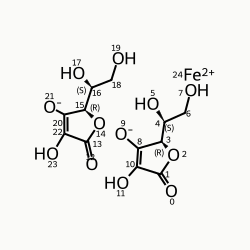 O=C1O[C@H]([C@@H](O)CO)C([O-])=C1O.O=C1O[C@H]([C@@H](O)CO)C([O-])=C1O.[Fe+2]